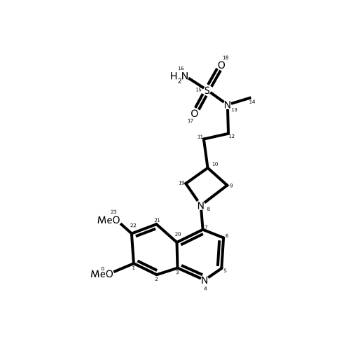 COc1cc2nccc(N3CC(CCN(C)S(N)(=O)=O)C3)c2cc1OC